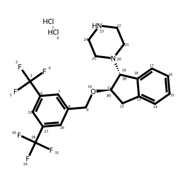 Cl.Cl.FC(F)(F)c1cc(CO[C@@H]2Cc3ccccc3[C@H]2N2CCNCC2)cc(C(F)(F)F)c1